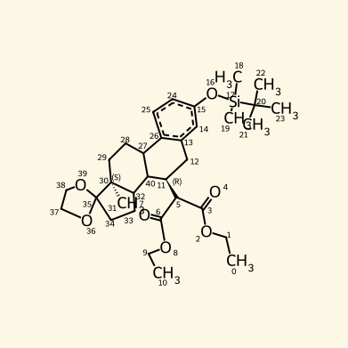 CCOC(=O)C(C(=O)OCC)[C@@H]1Cc2cc(O[Si](C)(C)C(C)(C)C)ccc2C2CC[C@@]3(C)C(CCC34OCCO4)C21